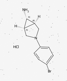 Cl.N[C@@H]1[C@H]2CN(c3ccc(Br)cc3)C[C@@H]12